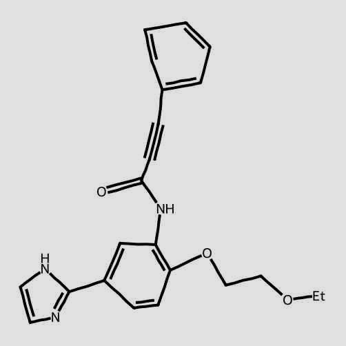 CCOCCOc1ccc(-c2ncc[nH]2)cc1NC(=O)C#Cc1ccccc1